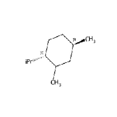 CC(C)[C@@H]1CC[C@@H](C)CC1C